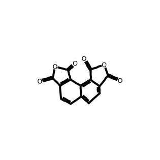 O=c1oc(=O)c2c1ccc1ccc3c(=O)oc(=O)c3c12